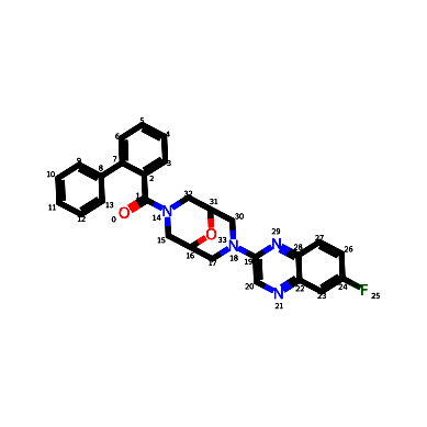 O=C(c1ccccc1-c1ccccc1)N1CC2CN(c3cnc4cc(F)ccc4n3)CC(C1)O2